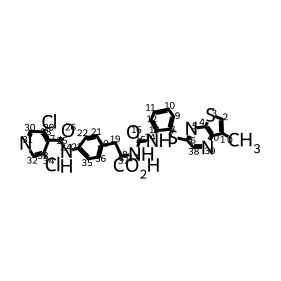 Cc1csc2nc(Sc3ccccc3NC(=O)NC(Cc3ccc(NC(=O)c4c(Cl)cncc4Cl)cc3)C(=O)O)cnc12